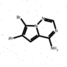 CC(C)c1cc2c(N)ncnn2c1Br